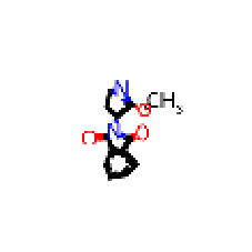 COC1=NCCC1N1C(=O)c2ccccc2C1=O